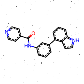 O=C(Nc1cccc(-c2cccc3[nH]ccc23)c1)c1ccncc1